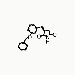 O=C1CC(=Cc2cccc(OCc3ccccc3)c2)C(=O)N1